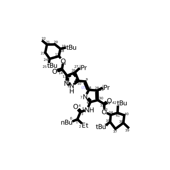 CCCCC(CC)C(=O)NC1=N/C(=C\c2[nH]nc(C(=O)OC3C(C(C)(C)C)CC(C)CC3C(C)(C)C)c2C(C)C)C(C(C)C)=C1C(=O)OC1C(C(C)(C)C)CC(C)CC1C(C)(C)C